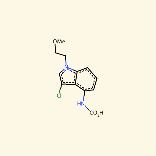 COCCn1cc(Cl)c2c(NC(=O)O)cccc21